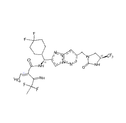 CC(F)(F)C(=N)/C(=C\O)C(=O)N[C@H](c1cn2ncc(CN3C[C@@H](C(F)(F)F)NC3=O)cc2n1)C1CCC(F)(F)CC1